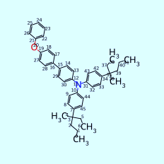 CCCC(C)(CC)c1ccc(N(c2ccc(-c3ccc(Oc4ccccc4)cc3)cc2)c2ccc(C(C)(CC)CCC)cc2)cc1